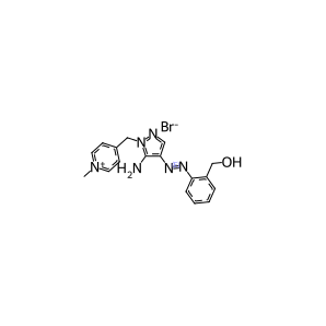 C[n+]1ccc(Cn2ncc(/N=N/c3ccccc3CO)c2N)cc1.[Br-]